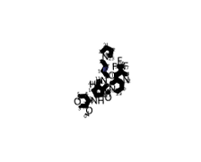 CO[C@@H]1COCC[C@@H]1N[C@@H]1C[C@H]2CN(C(=O)/C=C/CN3CCCC3)C[C@@]2(C(=O)N2CCc3ncc(C(F)(F)F)cc3C2)C1